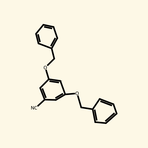 N#Cc1cc(OCc2ccccc2)[c]c(OCc2ccccc2)c1